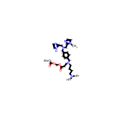 CCCN(CCC)CCCCN(CCC(=O)OCOC(=O)OC)Cc1ccc(CN(Cc2ncc[nH]2)Cc2nccn2C)cc1